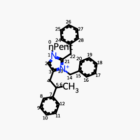 CCCCCn1cc(CC(C)c2ccccc2)[n+](Cc2ccccc2)c1Cc1ccccc1